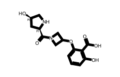 O=C(O)c1c(O)cccc1OC1CN(C(=O)[C@H]2C[C@@H](O)CN2)C1